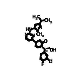 CC(C)c1cc(Nc2nccc(-c3ccn([C@H](CO)c4ccc(F)c(Cl)c4)c(=O)c3)n2)n(C)n1